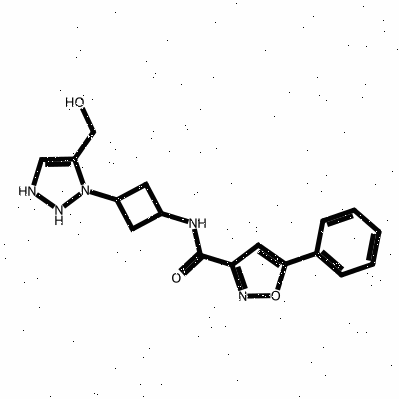 O=C(NC1CC(N2NNC=C2CO)C1)c1cc(-c2ccccc2)on1